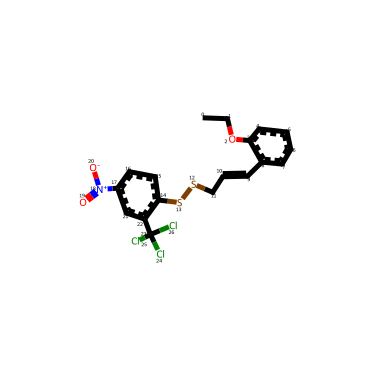 CCOc1ccccc1C=CCSSc1ccc([N+](=O)[O-])cc1C(Cl)(Cl)Cl